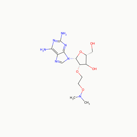 CN(C)OCCO[C@H]1C(O)[C@@H](CO)O[C@H]1n1cnc2c(N)nc(N)nc21